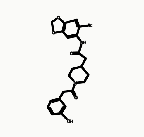 CC(=O)c1cc2c(cc1NC(=O)CC1CCN(C(=O)Cc3cccc(O)c3)CC1)OCO2